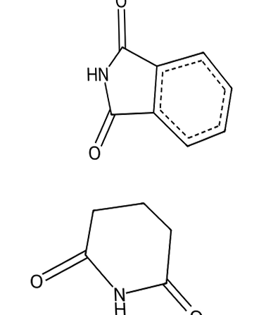 O=C1CCCC(=O)N1.O=C1NC(=O)c2ccccc21